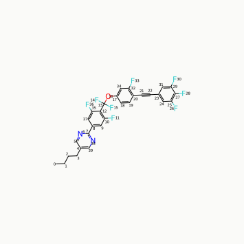 CCCCc1cnc(-c2cc(F)c(C(F)(F)Oc3ccc(C#Cc4cc(F)c(F)c(F)c4)c(F)c3)c(F)c2)nc1